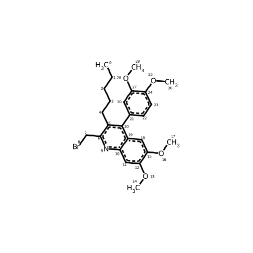 CCCCCc1c(CBr)nc2cc(OC)c(OC)cc2c1-c1ccc(OC)c(OC)c1